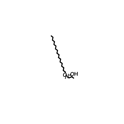 CCCCCCCCCCCCCCCCCCO[N+](C)(C)CC(C)O